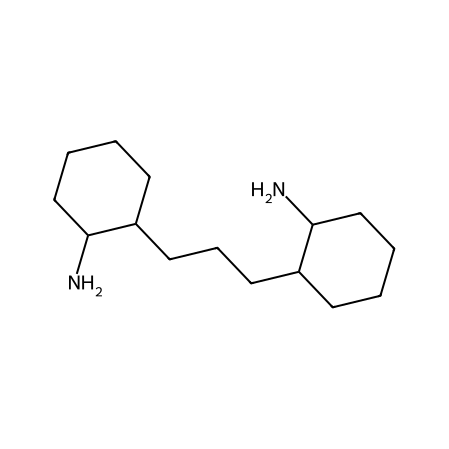 NC1CCCCC1CCCC1CCCCC1N